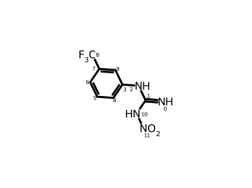 N=C(Nc1cccc(C(F)(F)F)c1)N[N+](=O)[O-]